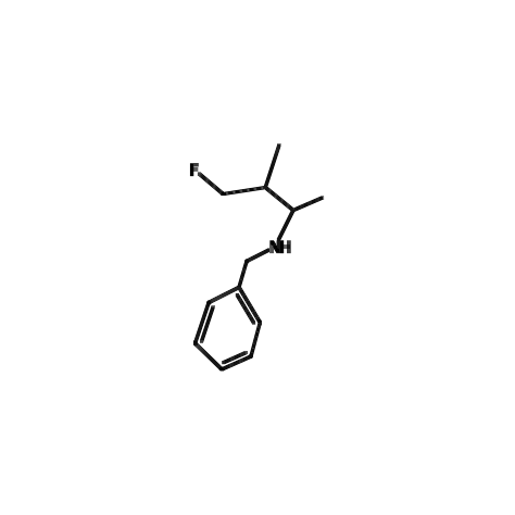 CC(CF)C(C)NCc1ccccc1